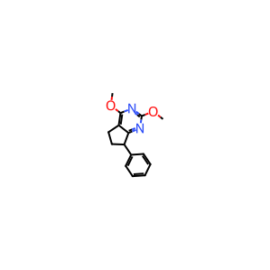 COc1nc(OC)c2c(n1)C(c1ccccc1)CC2